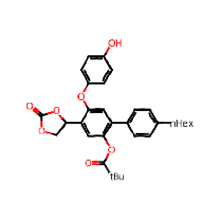 CCCCCCc1ccc(-c2cc(Oc3ccc(O)cc3)c(C3COC(=O)O3)cc2OC(=O)C(C)(C)C)cc1